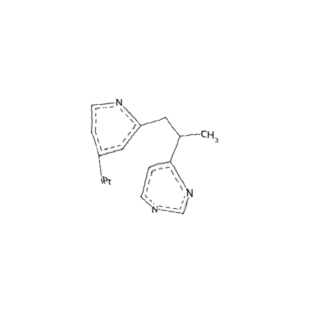 CC(C)c1ccnc(CC(C)c2ccncn2)c1